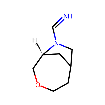 N=CN1CC2CCOC[C@@H]1C2